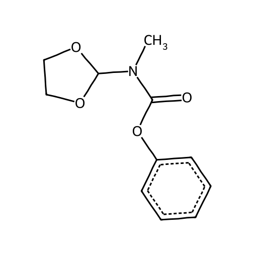 CN(C(=O)Oc1ccccc1)C1OCCO1